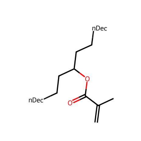 C=C(C)C(=O)OC(CCCCCCCCCCCC)CCCCCCCCCCCC